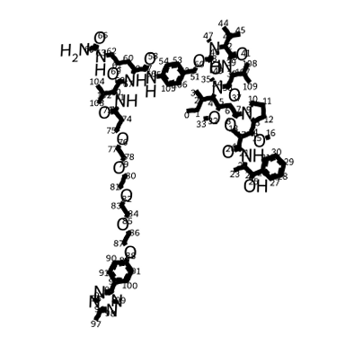 CCC(C)C(C(CC(=O)N1CCCC1C(OC)C(C)C(=O)NC(C)C(O)c1ccccc1)OC)N(C)C(=O)C(NC(=O)C(C(C)C)N(C)C(=O)OCc1ccc(NC(=O)C(CCCNC(N)=O)NC(=O)C(NC(=O)CCOCCOCCOCCOCCOc2ccc(-c3nnc(C)nn3)cc2)C(C)C)cc1)C(C)C